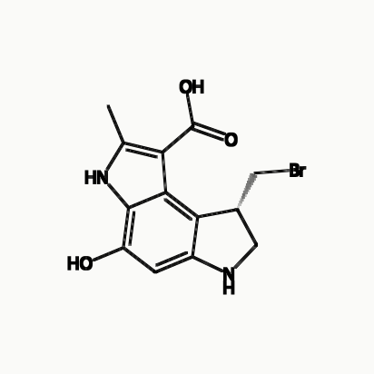 Cc1[nH]c2c(O)cc3c(c2c1C(=O)O)[C@H](CBr)CN3